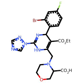 CCOC(=O)C1=C(CN2CCOCC2C(=O)O)NC(n2cncn2)=NC1c1ccc(F)cc1Br